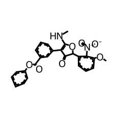 CNC1=C(c2cccc(C(=O)Oc3ccccc3)c2)C(=O)C(c2cccc(OC)c2[N+](=O)[O-])O1